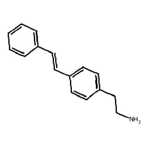 NCCc1ccc(/C=C/c2ccccc2)cc1